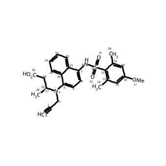 C#CCN(c1ccc(NS(=O)(=O)c2c(C)cc(OC)cc2C)c2ccccc12)[C@@H](C)CC(=O)O